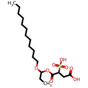 CCCCCCCCCCCCOC(CC)OC(=O)C(CC(=O)O)S(=O)(=O)O